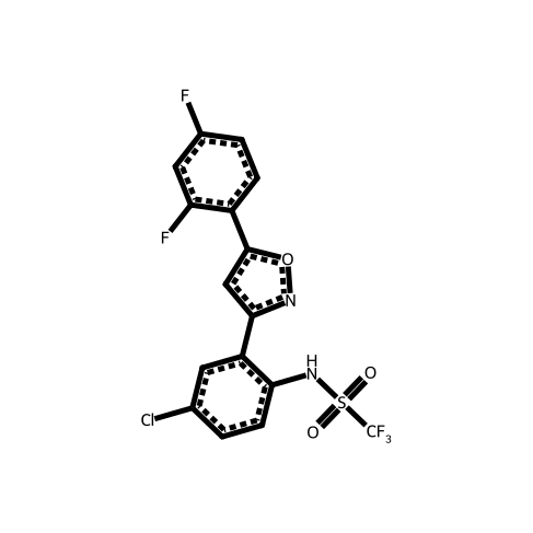 O=S(=O)(Nc1ccc(Cl)cc1-c1cc(-c2ccc(F)cc2F)on1)C(F)(F)F